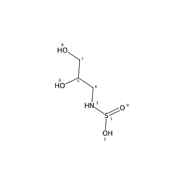 O=S(O)NCC(O)CO